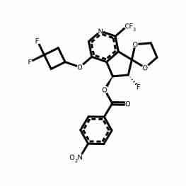 O=C(O[C@H]1c2c(OC3CC(F)(F)C3)cnc(C(F)(F)F)c2C2(OCCO2)[C@@H]1F)c1ccc([N+](=O)[O-])cc1